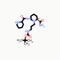 CC(C)(C)OC(=O)NCCCN1CCCC[C@H]1C(N)=O.NC(=O)C1CCCCN1